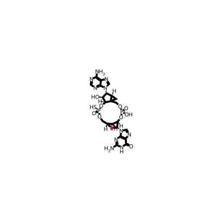 Nc1nc2c(ncn2[C@@H]2S[C@@H]3CO[P@@](=O)(S)O[C@H]4[C@@H](O)[C@H](n5cnc6c(N)ncnc65)[C@H]5CC54COP(=O)(O)O[C@@H]2[C@@H]3O)c(=O)[nH]1